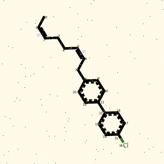 C/C=C\CC/C=C\Cc1ccc(-c2ccc(Cl)cc2)cc1